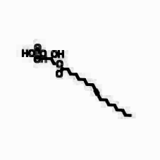 CCCCCCCCC#CCCCCCCCC(=O)OCC(O)COP(=O)(O)O